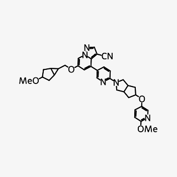 COc1ccc(OC2CC3CN(c4ccc(-c5cc(OCC6C7CC(OC)CC67)cn6ncc(C#N)c56)cn4)CC3C2)cn1